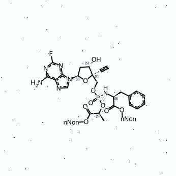 C#C[C@]1(CO[P@@](=O)(N[C@@H](Cc2ccccc2)C(=O)OCCCCCCCCC)O[C@@H](C)C(=O)OCCCCCCCCC)O[C@@H](n2cnc3c(N)nc(F)nc32)C[C@@H]1O